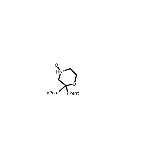 CCCCCC1(CCCCC)C[NH+]([O-])CCO1